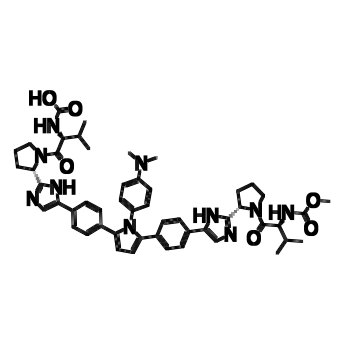 COC(=O)N[C@H](C(=O)N1CCC[C@H]1c1ncc(-c2ccc(-c3ccc(-c4ccc(-c5cnc([C@@H]6CCCN6C(=O)[C@@H](NC(=O)O)C(C)C)[nH]5)cc4)n3-c3ccc(N(C)C)cc3)cc2)[nH]1)C(C)C